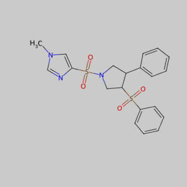 Cn1cnc(S(=O)(=O)N2CC(c3ccccc3)C(S(=O)(=O)c3ccccc3)C2)c1